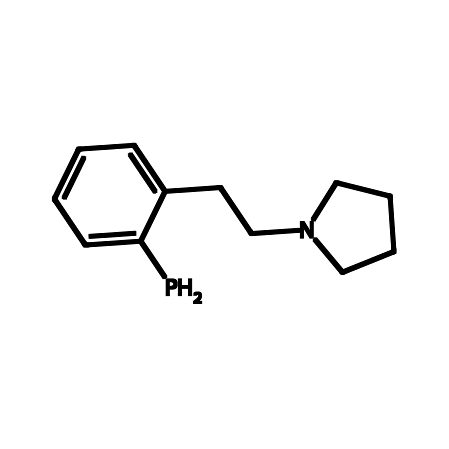 Pc1ccccc1CCN1CCCC1